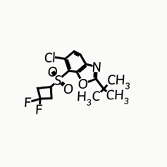 CC(C)(C)c1nc2ccc(Cl)c(S(=O)(=O)C3CC(F)(F)C3)c2o1